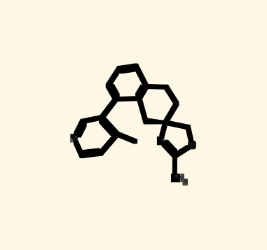 Cc1ccncc1-c1cccc2c1C[C@@]1(CC2)COC(N)=N1